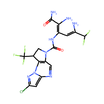 NC(=O)/C(N)=C(/C=C(\N)C(F)F)NC(=O)N1CC(C(F)(F)F)c2c1cnc1cc(Cl)nn21